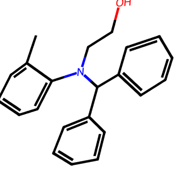 Cc1ccccc1N(CCO)C(c1ccccc1)c1ccccc1